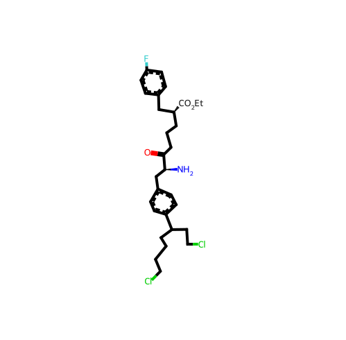 CCOC(=O)[C@@H](CCCC(=O)[C@@H](N)Cc1ccc(C(CCCl)CCCCCl)cc1)Cc1ccc(F)cc1